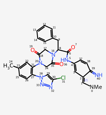 CN/C=C1/C=C(NC(=O)C(Cc2ccccc2)N2CC(=O)N(c3cc(C)ccc3-n3cc(Cl)nn3)CC2=O)C=CC1=N